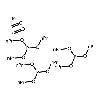 CCCOP(OCCC)OCCC.CCCOP(OCCC)OCCC.CCCOP(OCCC)OCCC.[C]=O.[C]=O.[Ru]